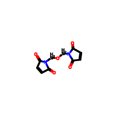 O=C1C=CC(=O)N1[SiH2]O[SiH2]N1C(=O)C=CC1=O